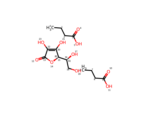 CCCC(=O)O.CCCC(=O)O.O=C1O[C@H]([C@@H](O)CO)C(O)=C1O